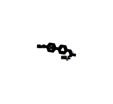 COC12CCC(c3ccc(/C=C(/C)C(=O)O)cc3)(CC1)CC2